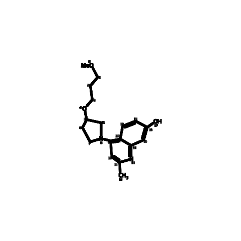 COCCCOC1CCN(c2cc(C)nc3cc(O)ccc23)C1